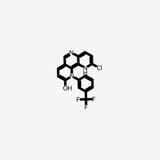 OC1=CC=c2cnc3c(c2N1c1cccc(C(F)(F)F)c1)NC(Cl)=CC=3